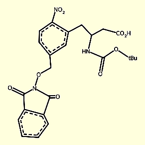 CC(C)(C)OC(=O)NC(CC(=O)O)Cc1cc(CON2C(=O)c3ccccc3C2=O)ccc1[N+](=O)[O-]